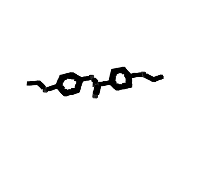 CCOc1ccc(O[PH](=O)c2ccc(OCC)cc2)cc1